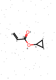 C=CC(=O)OC1CC1